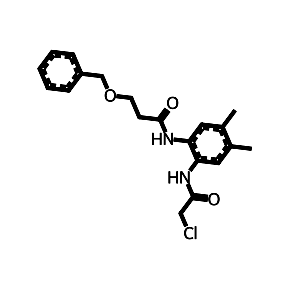 Cc1cc(NC(=O)CCl)c(NC(=O)CCOCc2ccccc2)cc1C